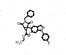 CCOC(=O)C1C2C(=O)N(Cc3ccccc3)C(=O)C12c1cc2cnn(-c3ccc(F)cc3)c2cc1C